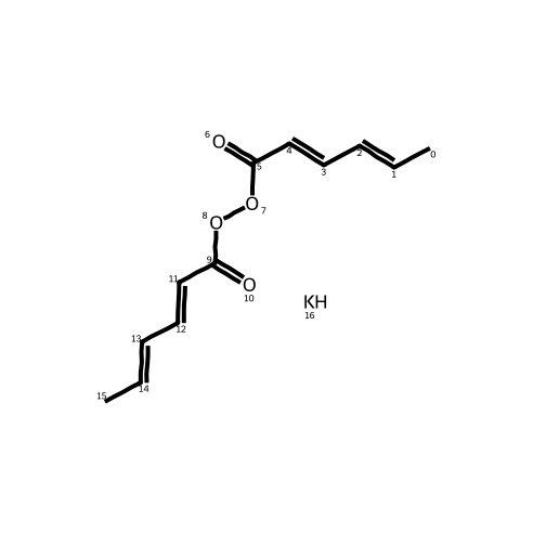 C/C=C/C=C/C(=O)OOC(=O)/C=C/C=C/C.[KH]